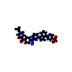 CS(=O)(=O)C1CCN(c2cccc3c2ccn3-c2ccnc(N[C@H]3CC[C@H](C(=O)N4CCN(C5CC5)CC4)CC3)n2)CC1